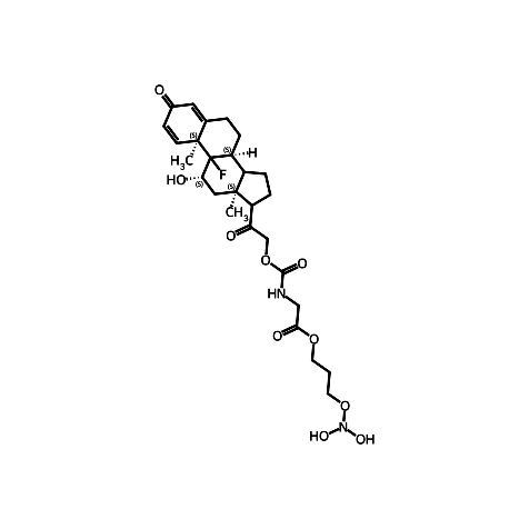 C[C@]12C[C@H](O)C3(F)[C@@H](CCC4=CC(=O)C=C[C@@]43C)C1CCC2C(=O)COC(=O)NCC(=O)OCCCON(O)O